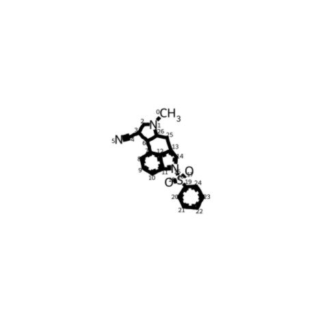 CN1CC(C#N)C2c3cccc4c3c(cn4S(=O)(=O)c3ccccc3)CC21